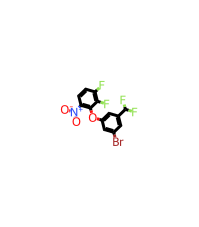 O=[N+]([O-])c1ccc(F)c(F)c1Oc1cc(Br)cc(C(F)F)c1